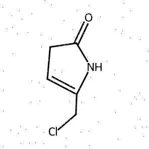 O=C1CC=C(CCl)N1